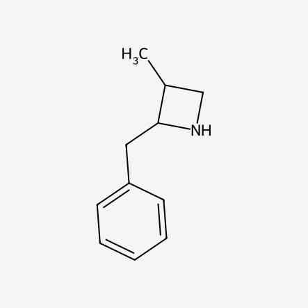 CC1CNC1Cc1ccccc1